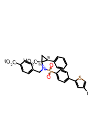 Cc1csc(-c2ccc(S(=O)(=O)N(Cc3ccc(C(=O)O)cc3)[C@]3(C(=O)O)C[C@H]3c3ccccc3)cc2)c1